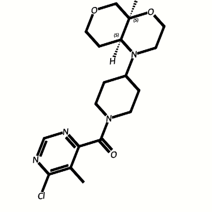 Cc1c(Cl)ncnc1C(=O)N1CCC(N2CCO[C@@H]3COCC[C@@H]32)CC1